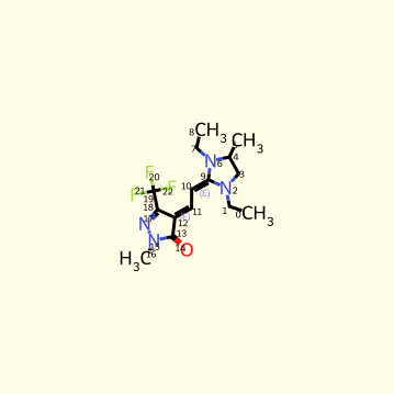 CCN1CC(C)N(CC)/C1=C/C=C1/C(=O)N(C)N=C1C(F)(F)F